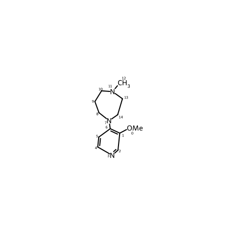 COc1cnccc1N1CCCN(C)CC1